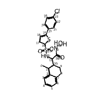 CC1c2ccccc2CCC1C(NS(=O)(=O)C1CC=C(c2ccc(Cl)cc2)S1)C(=O)NO